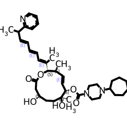 C\C(=C/C=C/C=C/C(C)c1ccccn1)[C@H]1OC(=O)C[C@@H](O)CC[C@](C)(O)[C@@H](OC(=O)N2CCN(C3CCCCCC3)CC2)/C=C/[C@@H]1C